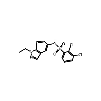 CCn1ncc2cc(NS(=O)(=O)c3cccc(Cl)c3Cl)ccc21